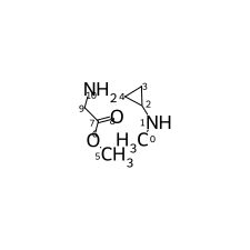 CNC1CC1.COC(=O)CN